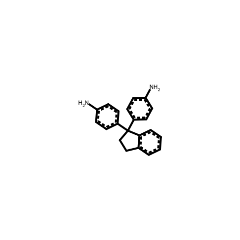 Nc1ccc(C2(c3ccc(N)cc3)CCc3ccccc32)cc1